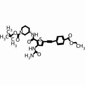 CCOC(=O)c1ccc(C#Cc2cc(NC(N)=O)c(C(=O)N[C@H]3CCCN(C(=O)OC(C)(C)C)C3)s2)cc1